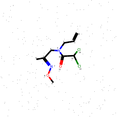 C=CCN(CC(C)=NOC)C(=O)C(Cl)Cl